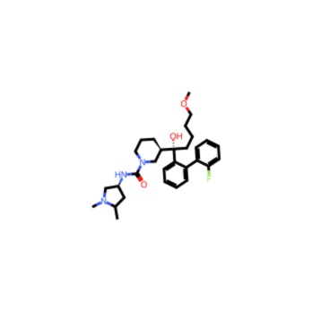 COCCCC[C@@](O)(c1ccccc1-c1ccccc1F)[C@@H]1CCCN(C(=O)N[C@H]2CC(C)N(C)C2)C1